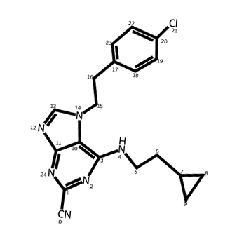 N#Cc1nc(NCCC2CC2)c2c(ncn2CCc2ccc(Cl)cc2)n1